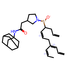 C=C/C=C(\C=C/C)C/C=C\C(CC=C)[S+]([O-])N1CCC(CC(=O)NC23CC4CC(CC(C4)C2)C3)C1